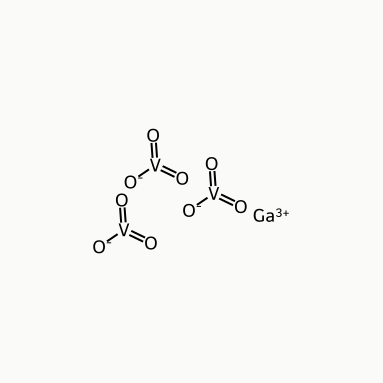 [Ga+3].[O]=[V](=[O])[O-].[O]=[V](=[O])[O-].[O]=[V](=[O])[O-]